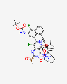 CC1Oc2nc(-c3cc(NC(=O)OC(C)(C)C)c(F)c4cccc(C#C[Si](C(C)C)(C(C)C)C(C)C)c34)c(F)c3nc([S+](C)[O-])nc(c23)N2CC3CCC(C12)N3C(=O)O